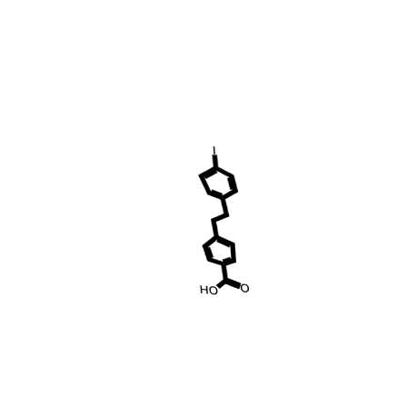 O=C(O)c1ccc(CCc2ccc(I)cc2)cc1